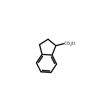 CCOC(=O)C1CCc2ccccc21